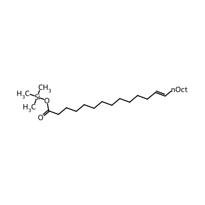 CCCCCCCCC=CCCCCCCCCCCCC(=O)O[Si](C)(C)C